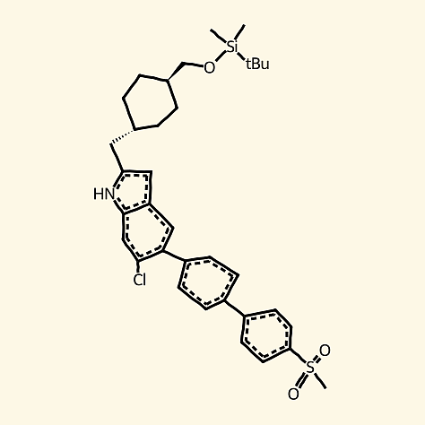 CC(C)(C)[Si](C)(C)OC[C@H]1CC[C@H](Cc2cc3cc(-c4ccc(-c5ccc(S(C)(=O)=O)cc5)cc4)c(Cl)cc3[nH]2)CC1